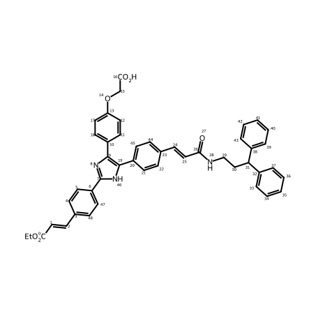 CCOC(=O)C=Cc1ccc(-c2nc(-c3ccc(OCC(=O)O)cc3)c(-c3ccc(C=CC(=O)NCCC(c4ccccc4)c4ccccc4)cc3)[nH]2)cc1